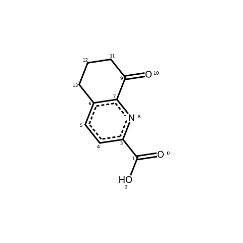 O=C(O)c1ccc2c(n1)C(=O)CCC2